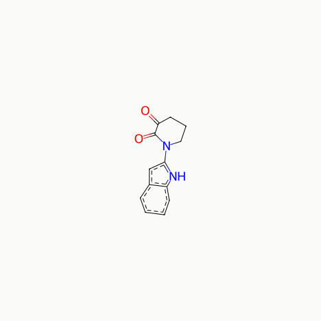 O=C1CCCN(c2cc3ccccc3[nH]2)C1=O